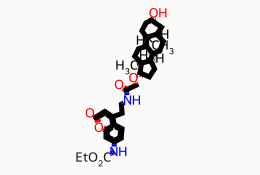 CCOC(=O)Nc1ccc2c(CCNC(=O)CO[C@H]3CC[C@H]4[C@@H]5CC[C@H]6C[C@H](O)CC[C@]6(C)[C@H]5CC[C@]34C)cc(=O)oc2c1